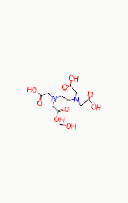 CO.O=C(O)CN(CCN(CC(=O)O)CC(=O)O)CC(=O)O